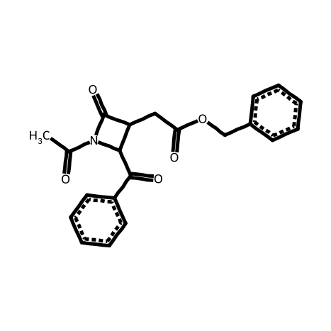 CC(=O)N1C(=O)C(CC(=O)OCc2ccccc2)C1C(=O)c1ccccc1